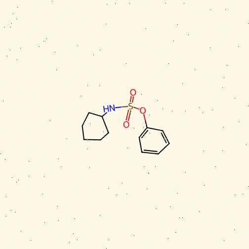 O=S(=O)(NC1CCCCC1)Oc1ccccc1